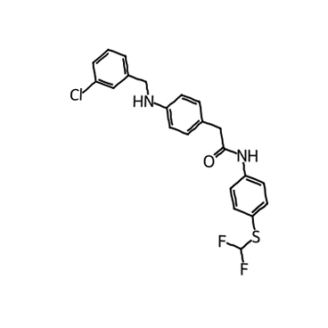 O=C(Cc1ccc(NCc2cccc(Cl)c2)cc1)Nc1ccc(SC(F)F)cc1